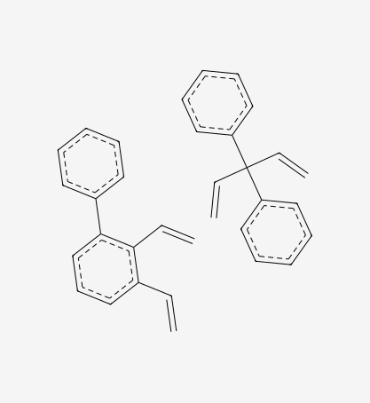 C=CC(C=C)(c1ccccc1)c1ccccc1.C=Cc1cccc(-c2ccccc2)c1C=C